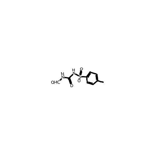 Cc1ccc(S(=O)(=O)NC(=O)NC=O)cc1